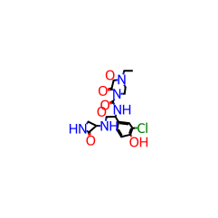 CCN1CCN(C(=O)NC(C(=O)NC2CNC2=O)c2ccc(O)c(Cl)c2)C(=O)C1=O